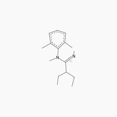 CCC(CC)/C(=N/C)N(C)c1c(C)cccc1C